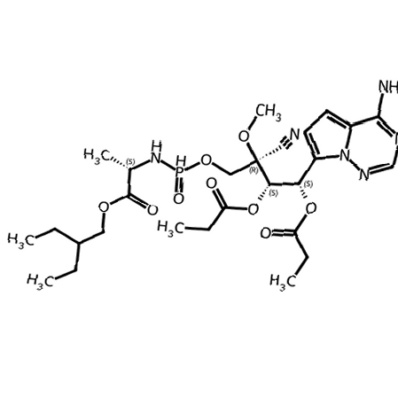 CCC(=O)O[C@@H](c1ccc2c(N)ncnn12)[C@H](OC(=O)CC)[C@@](C#N)(CO[PH](=O)N[C@@H](C)C(=O)OCC(CC)CC)OC